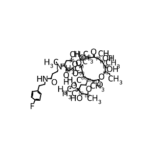 CC[C@H]1OC(=O)[C@H](C)[C@@H](C2C[C@@](C)(OC)[C@@H](O)[C@H](C)O2)[C@H](C)[C@@H](O[C@@H]2O[C@H](C)C[C@H](N(C)CCC(=O)NCCc3ccc(F)cc3)[C@H]2O)[C@](C)(OC)C[C@@H](C)C(=O)[C@H](C)[C@@H](O)[C@]1(C)O